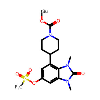 Cn1c(=O)n(C)c2c(C3CCN(C(=O)OC(C)(C)C)CC3)cc(OS(=O)(=O)C(F)(F)F)cc21